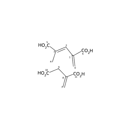 C=C(C=C(C)C(=O)O)C(=O)O.C=C(CC(=O)O)C(=O)O